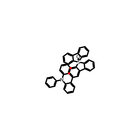 O=S12(c3ccccc3-c3ccccc31)c1ccccc1-c1cc(-c3ccccc3N(c3ccccc3)c3ccccc3)ccc12